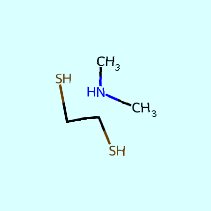 CNC.SCCS